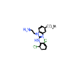 NCCn1c(Nc2c(Cl)cccc2Cl)nc2cc(C(=O)O)ccc21